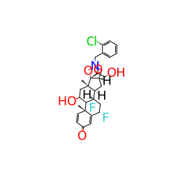 C[C@]12C=CC(=O)C=C1[C@@H](F)C[C@H]1[C@@H]3C[C@H]4CN(Cc5ccccc5Cl)O[C@@]4(C(=O)CO)[C@@]3(C)C[C@H](O)[C@@]12F